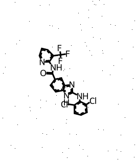 O=C(Nc1ncccc1C(F)(F)F)c1ccc2[nH]c(Nc3c(Cl)cccc3Cl)nc2c1